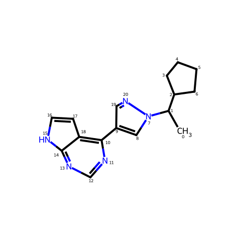 CC(C1CCCC1)n1cc(-c2ncnc3[nH]ccc23)cn1